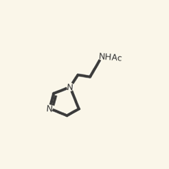 CC(=O)NCCN1C=NCC1